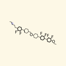 C/C=C/CCc1ccc(C2=CCC(COC3CCC(c4ccc(-c5ccc(OCC)c(F)c5F)c(F)c4F)CC3)CC2)c(F)c1F